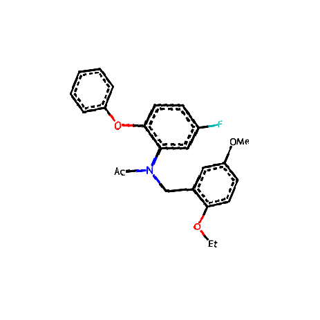 CCOc1ccc(OC)cc1CN(C(C)=O)c1cc(F)ccc1Oc1ccccc1